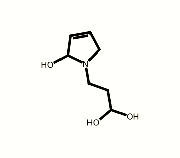 OC(O)CCN1CC=CC1O